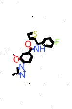 COc1cc(C(=O)NC(c2ccc(F)cc2)c2cccs2)ccc1-n1cnc(C)c1